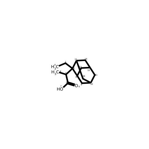 CCC1(C(C)C(=O)O)C2CC3CC(C2)CC1C3